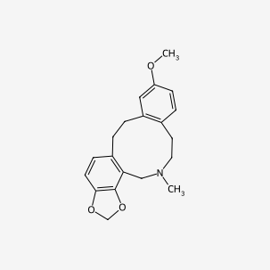 COc1ccc2c(c1)CCc1ccc3c(c1CN(C)CC2)OCO3